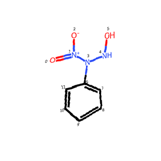 O=[N+]([O-])N(NO)c1ccccc1